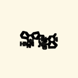 Cc1cc(NCc2ccc(-c3ccccc3-c3nnn[nH]3)cc2)c2c(S(=O)(=O)N(C)C)cccc2n1